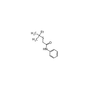 CCC(C)(C)SCC(=O)Nc1ccccc1